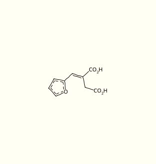 O=C(O)C/C(=C\c1ccco1)C(=O)O